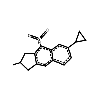 CC1Cc2cc3ccc(C4CC4)cc3c([SH](=O)=O)c2C1